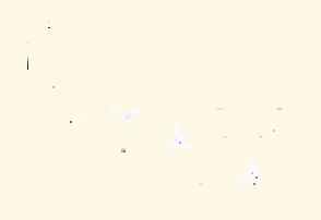 O=C(Cc1ccccc1)N1CCN(c2ccnc3cc(Cl)ccc23)CC1